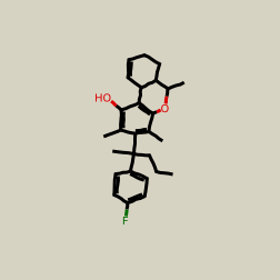 CCCC(C)(c1ccc(F)cc1)c1c(C)c(O)c2c(c1C)OC(C)C1CCC=CC21